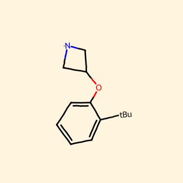 CC(C)(C)c1ccccc1OC1C[N]C1